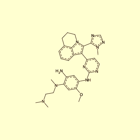 COc1cc(N(C)CCN(C)C)c(N)cc1Nc1nccc(-c2c(-c3ncnn3C)n3c4c(cccc24)CCC3)n1